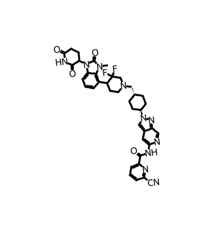 Cn1c(=O)n(C2CCC(=O)NC2=O)c2cccc(C3CCN(C[C@H]4CC[C@H](n5cc6cc(NC(=O)c7cccc(C#N)n7)ncc6n5)CC4)CC3(F)F)c21